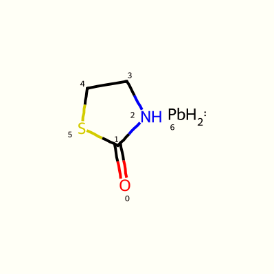 O=C1NCCS1.[PbH2]